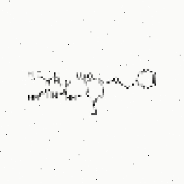 COc1cc(OCc2ccccc2)cc(Cl)c1NC(=O)NC(=N)N(C)C